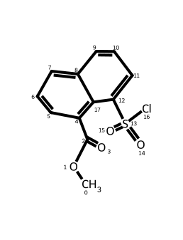 COC(=O)c1cccc2cccc(S(=O)(=O)Cl)c12